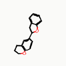 c1ccc2c(c1)CC(c1ccc3c(c1)CCCO3)O2